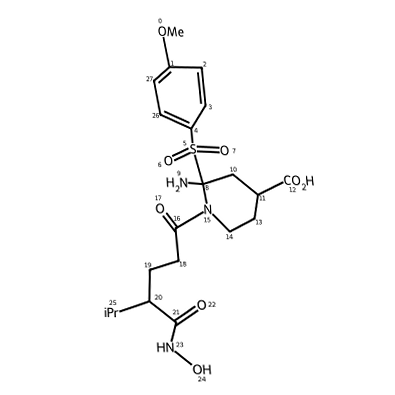 COc1ccc(S(=O)(=O)C2(N)CC(C(=O)O)CCN2C(=O)CCC(C(=O)NO)C(C)C)cc1